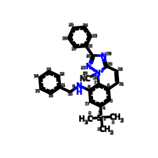 [CH3][Sn]([CH3])([CH3])[c]1cc2c(c(NCc3ccccc3)c1)[N+]1(C#N)N=C(c3ccccc3)N=C1C=C2